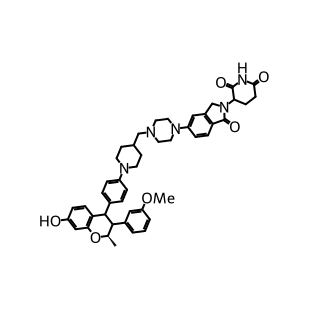 COc1cccc(C2C(c3ccc(N4CCC(CN5CCN(c6ccc7c(c6)CN(C6CCC(=O)NC6=O)C7=O)CC5)CC4)cc3)c3ccc(O)cc3O[C@@H]2C)c1